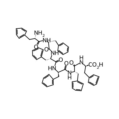 N[C@@H](Cc1ccccc1)C(=O)N[C@H](Cc1ccccc1)C(=O)N[C@@H](Cc1ccccc1)C(=O)N[C@H](Cc1ccccc1)C(=O)N[C@@H](Cc1ccccc1)C(=O)N[C@H](Cc1ccccc1)C(=O)O